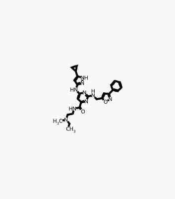 CCN(C)CCNC(=O)c1cc(Nc2cc(C3CC3)[nH]n2)nc(NCc2cc(-c3ccccc3)no2)n1